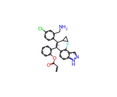 C=CC(=O)Oc1ccccc1/C(=C(\c1ccc(Cl)cc1CN)C1CC1)c1ccc2[nH]ncc2c1F